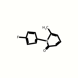 Cc1cccc(=O)n1-c1ccc(F)cc1